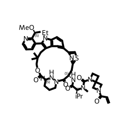 C=CC(=O)N1CC2(CCN2C(=O)N(C)[C@H](C(=O)N[C@H]2Cc3nc(cs3)-c3ccc4c(c3)c(c(-c3cccnc3[C@H](C)OC)n4CC)CC(C)(C)COC(=O)[C@@H]3CCCN(N3)C2=O)C(C)C)C1